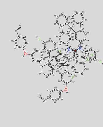 C=Cc1ccc(Oc2ccc(C3(c4cc(F)ccc4F)C4=C(C=CCC4)c4ccc(N(c5ccc(F)cc5)c5ccc6c(c5)C5(c7ccccc7-6)c6ccccc6-c6ccc(N(c7ccc(F)cc7)c7ccc8c(c7)C(C7=C(F)CCC(F)=C7)(c7ccc(Oc9ccc(C=C)cc9)cc7)c7ccccc7-8)cc65)cc43)cc2)cc1